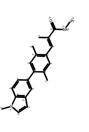 C/C(=C\c1cc(C)c(-c2ccc3c(ccn3C)c2)cc1C)C(=O)NC(C)C